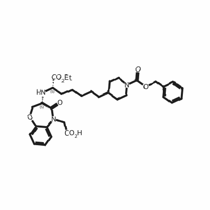 CCOC(=O)[C@H](CCCCCC1CCN(C(=O)OCc2ccccc2)CC1)N[C@H]1COc2ccccc2N(CC(=O)O)C1=O